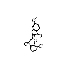 COc1ccc2c(c1)CN(c1cc(=O)c3cccc(Cl)c3o1)C2=O